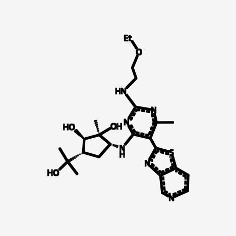 CCOCCNc1nc(C)c(-c2nc3cnccc3s2)c(N[C@@H]2C[C@H](C(C)(C)O)[C@@H](O)[C@@]2(C)O)n1